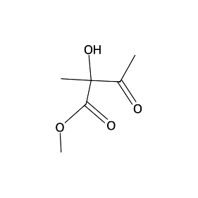 COC(=O)C(C)(O)C(C)=O